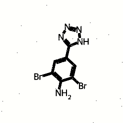 Nc1c(Br)cc(-c2nnn[nH]2)cc1Br